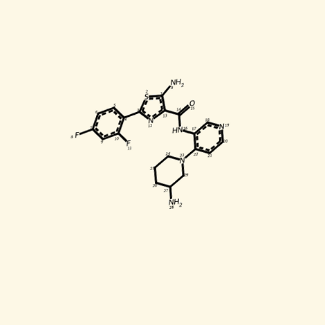 Nc1sc(-c2ccc(F)cc2F)nc1C(=O)Nc1cnccc1N1CCCC(N)C1